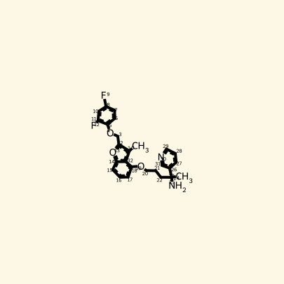 Cc1c(COc2ccc(F)cc2F)oc2cccc(OCCCC(C)(N)c3cccnc3)c12